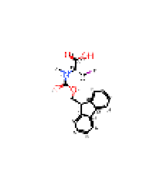 CN(C(=O)OCC1c2ccccc2-c2ccccc21)[C@@H](CI)C(=O)O